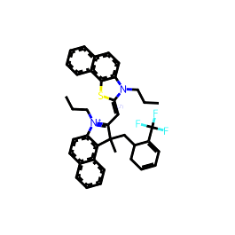 CCCN1/C(=C/C2=[N+](CCC)c3ccc4ccccc4c3C2(C)CC2CC=CC=C2C(F)(F)F)Sc2c1ccc1ccccc21